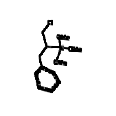 CO[Si](OC)(OC)C(CCl)Cc1ccccc1